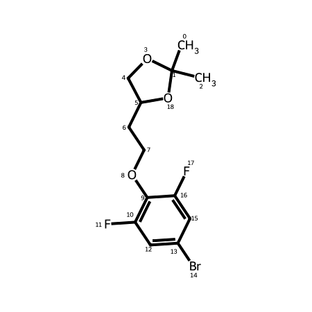 CC1(C)OCC(CCOc2c(F)cc(Br)cc2F)O1